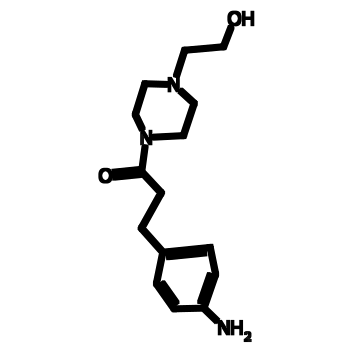 Nc1ccc(CCC(=O)N2CCN(CCO)CC2)cc1